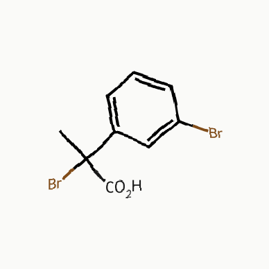 CC(Br)(C(=O)O)c1cccc(Br)c1